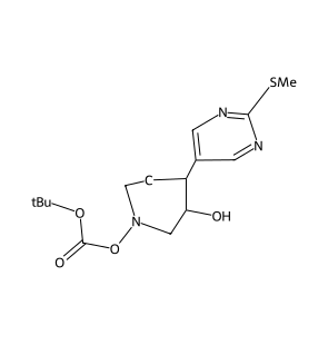 CSc1ncc(C2CCN(OC(=O)OC(C)(C)C)CC2O)cn1